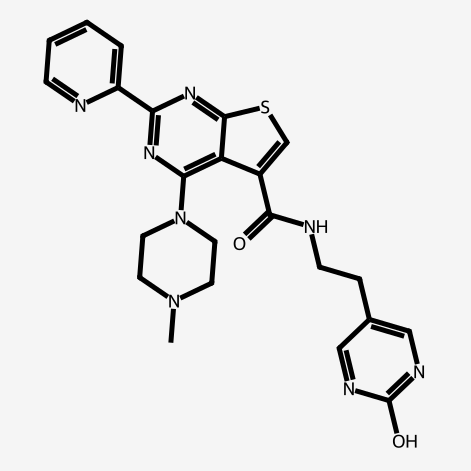 CN1CCN(c2nc(-c3ccccn3)nc3scc(C(=O)NCCc4cnc(O)nc4)c23)CC1